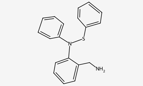 NCc1ccccc1N(Sc1ccccc1)c1ccccc1